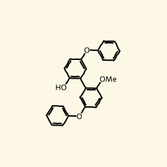 COc1ccc(Oc2ccccc2)cc1-c1cc(Oc2ccccc2)ccc1O